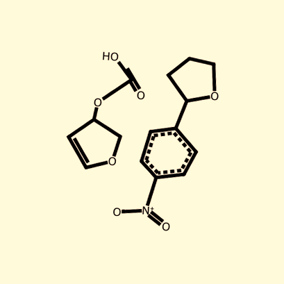 O=C(O)OC1C=COC1.O=[N+]([O-])c1ccc(C2CCCO2)cc1